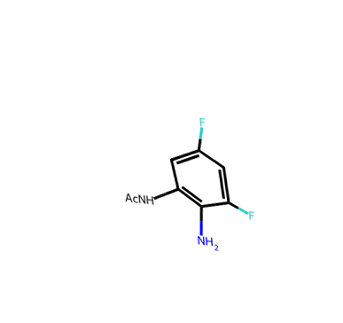 CC(=O)Nc1cc(F)cc(F)c1N